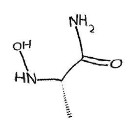 C[C@H](NO)C(N)=O